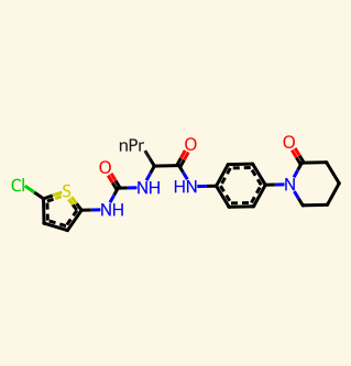 CCCC(NC(=O)Nc1ccc(Cl)s1)C(=O)Nc1ccc(N2CCCCC2=O)cc1